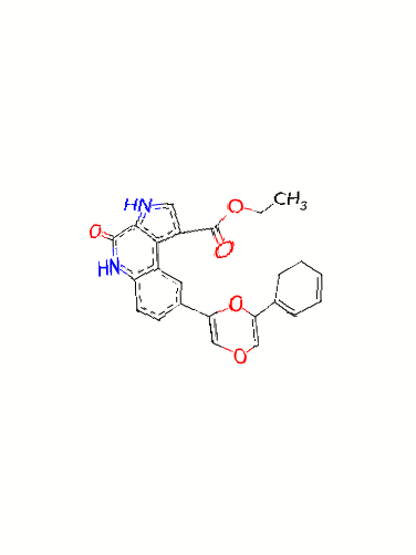 CCOC(=O)c1c[nH]c2c(=O)[nH]c3ccc(C4=COC=C(C5=CC=CCC5)O4)cc3c12